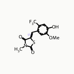 COc1cc(/C=C2\SC(=O)N(C)C2=O)c(C(F)(F)F)cc1O